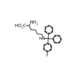 Cc1ccc(C(NCCCCC(N)C(=O)O)(c2ccccc2)c2ccccc2)cc1